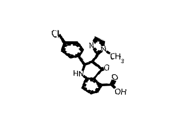 Cn1ccnc1C1C(=O)c2c(cccc2C(=O)O)NC1c1ccc(Cl)cc1